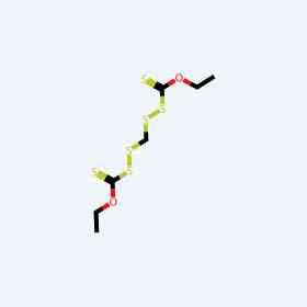 CCOC(=S)SSCSSC(=S)OCC